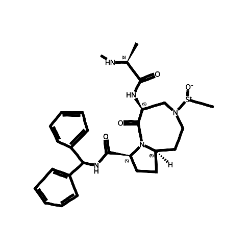 CN[C@@H](C)C(=O)N[C@H]1CN([S+](C)[O-])CC[C@H]2CC[C@@H](C(=O)NC(c3ccccc3)c3ccccc3)N2C1=O